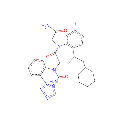 Cc1ccc2c(c1)N(CC(N)=O)C(=O)C(N(C(N)=O)c1ccccc1-n1ncnn1)CC2CC1CCCCC1